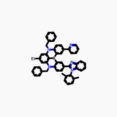 CCc1cc2c3c(c1)N(Cc1ccccc1)c1ccc(-c4nc5ccccc5n4-c4c(C)cccc4C)cc1B3c1cc(-c3ccccn3)ccc1N2Cc1ccccc1